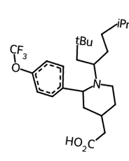 CC(C)CCC(CC(C)(C)C)N1CCC(CC(=O)O)CC1c1ccc(OC(F)(F)F)cc1